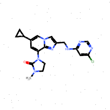 CN1CCN(c2cc(C3CC3)cn3cc(CNc4cc(Cl)ncn4)nc23)C1=O